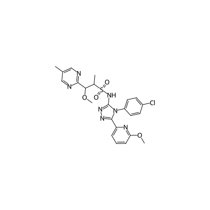 COc1cccc(-c2nnc(NS(=O)(=O)C(C)C(OC)c3ncc(C)cn3)n2-c2ccc(Cl)cc2)n1